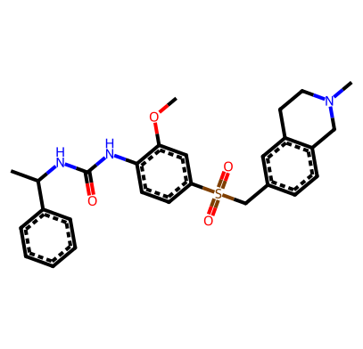 COc1cc(S(=O)(=O)Cc2ccc3c(c2)CCN(C)C3)ccc1NC(=O)NC(C)c1ccccc1